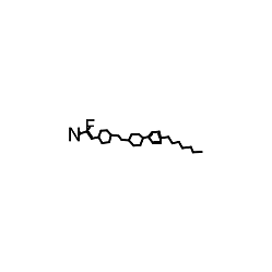 CCCCCCCc1ccc(C2CCC(CCC3CCC(C=C(F)C#N)CC3)CC2)cc1